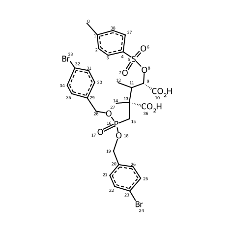 Cc1ccc(S(=O)(=O)O[C@H](C(=O)O)C(C)[C@](C)(CP(=O)(OCc2ccc(Br)cc2)OCc2ccc(Br)cc2)C(=O)O)cc1